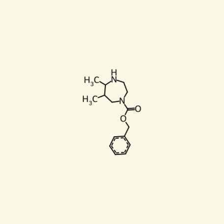 CC1CN(C(=O)OCc2ccccc2)CCNC1C